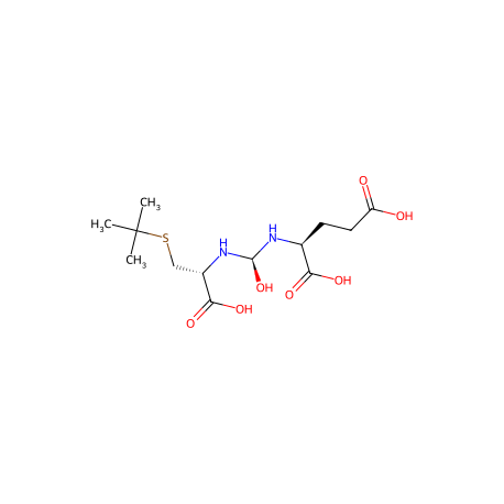 CC(C)(C)SC[C@H](N[C@H](O)N[C@@H](CCC(=O)O)C(=O)O)C(=O)O